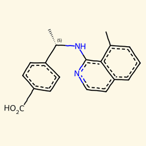 Cc1cccc2ccnc(N[C@@H](C)c3ccc(C(=O)O)cc3)c12